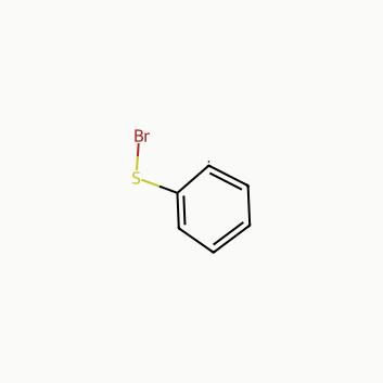 BrSc1[c]cccc1